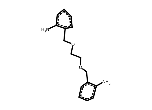 Nc1ccccc1COCCOCc1ccccc1N